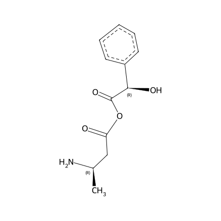 C[C@@H](N)CC(=O)OC(=O)[C@H](O)c1ccccc1